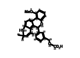 COc1cccc2c1-c1ccc3c(c1C(c1cccc(COC(=O)O)c1)O2)C(C)=CC(C)(C)N3